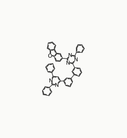 c1ccc(-c2cc(-c3cccc(-c4cccc(-c5nc(-c6ccccc6)nc(-c6ccc7oc8ccccc8c7c6)n5)c4)c3)nc(-c3ccccc3)n2)cc1